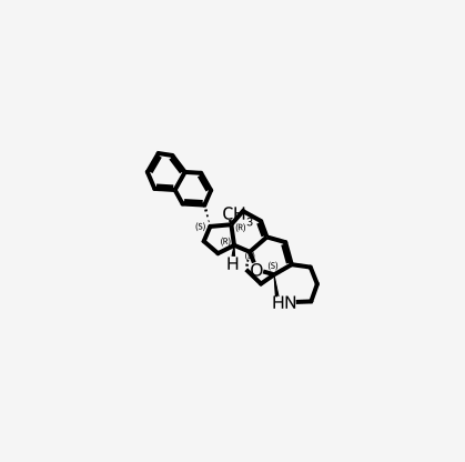 C[C@]12CC=C3C=C4CCCNC[C@]45CC[C@]3(O5)[C@@H]1CC[C@@H]2c1ccc2ccccc2c1